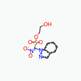 O=[N+]([O-])C(n1ncc2ccccc21)S(=O)(=O)OCCO